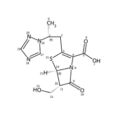 C[C@H](CC1=C(C(=O)O)N2C(=O)[C@H](CO)[C@H]2S1)n1cncn1